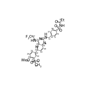 CCC(=O)NS(=O)(=O)c1ccc(CNc2nc(NCC(F)(F)F)c3nc(-c4ccc(OC)c(S(C)(=O)=O)c4)ccc3n2)cc1